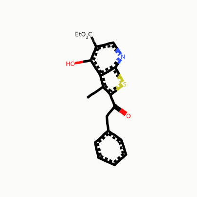 CCOC(=O)c1cnc2sc(C(=O)Cc3ccccc3)c(C)c2c1O